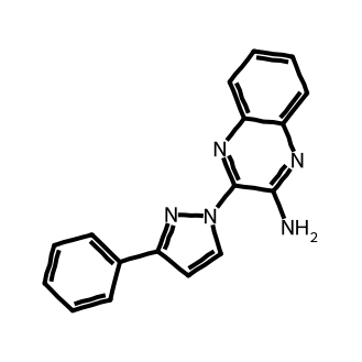 Nc1nc2ccccc2nc1-n1ccc(-c2ccccc2)n1